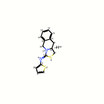 c1csc(N=C2SC[C@@H]3Cc4ccccc4CN23)c1